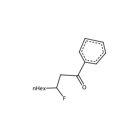 CCCCCCC(F)CC(=O)c1ccccc1